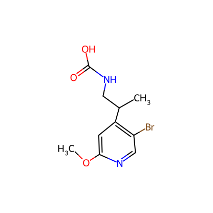 COc1cc(C(C)CNC(=O)O)c(Br)cn1